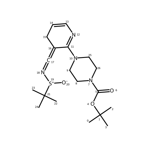 CC(C)(C)OC(=O)N1CCN(C2=NC=CCC2=C=N[S+]([O-])C(C)(C)C)CC1